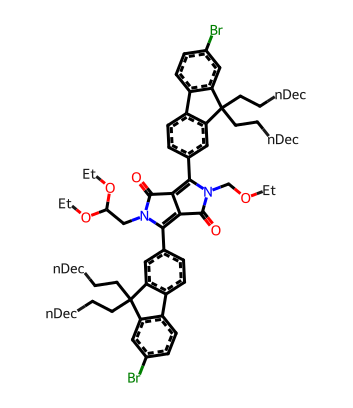 CCCCCCCCCCCCC1(CCCCCCCCCCCC)c2cc(Br)ccc2-c2ccc(C3=C4C(=O)N(CC(OCC)OCC)C(c5ccc6c(c5)C(CCCCCCCCCCCC)(CCCCCCCCCCCC)c5cc(Br)ccc5-6)=C4C(=O)N3COCC)cc21